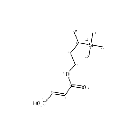 CC(CCOC(=O)C=CC(=O)O)[Si](C)(C)C